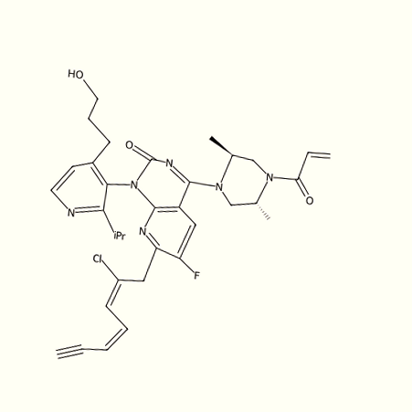 C#C/C=C\C=C(\Cl)Cc1nc2c(cc1F)c(N1C[C@@H](C)N(C(=O)C=C)C[C@@H]1C)nc(=O)n2-c1c(CCCO)ccnc1C(C)C